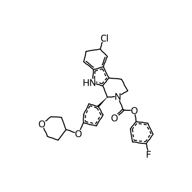 O=C(Oc1ccc(F)cc1)N1CCc2c([nH]c3c2=CC(Cl)CC=3)[C@@H]1c1ccc(OC2CCOCC2)cc1